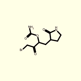 NC(=O)OC(CC1CCNC1=O)C(=O)CBr